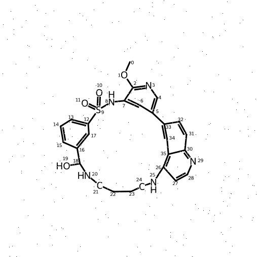 COc1ncc2cc1NS(=O)(=O)c1cccc(c1)C(O)NCCCCNc1ccnc3ccc-2cc13